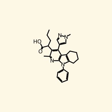 CCCC(C(=O)O)c1c(C)nc2c(c3c(n2-c2ccccc2)CCCC3)c1-c1cnn(C)c1